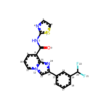 O=C(Nc1nccs1)c1cccn2cc(-c3cccc(C(F)F)c3)nc12